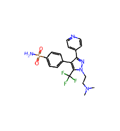 CN(C)CCn1nc(-c2ccncc2)c(-c2ccc(S(N)(=O)=O)cc2)c1C(F)(F)F